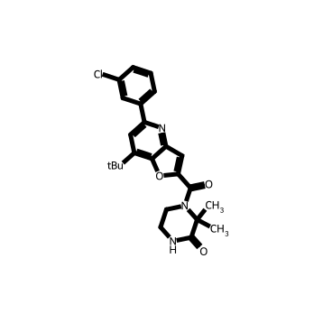 CC(C)(C)c1cc(-c2cccc(Cl)c2)nc2cc(C(=O)N3CCNC(=O)C3(C)C)oc12